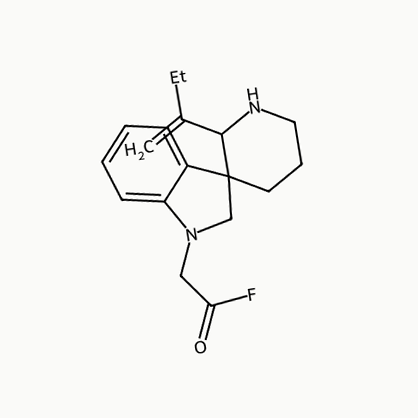 C=C(CC)C1NCCCC12CN(CC(=O)F)c1ccccc12